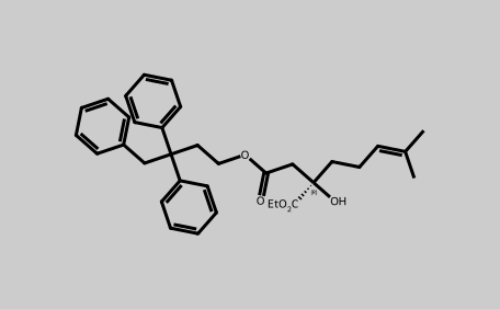 CCOC(=O)[C@@](O)(CCC=C(C)C)CC(=O)OCCC(Cc1ccccc1)(c1ccccc1)c1ccccc1